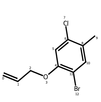 C=CCOc1cc(Cl)c(C)cc1Br